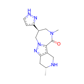 C[C@@H]1Cc2nn3c(c2CN1)C(=O)N(C)C[C@H](c1cc[nH]n1)C3